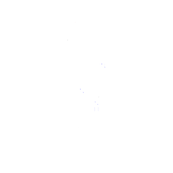 CC(C)(C)NC(=S=C=O)N(Cc1ccccc1)NOC(C)(C)C